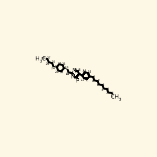 CCCCCCCCCCc1ccc(-c2cnc(CC[C@H]3CC[C@H](CCCCC)CC3)nc2F)cc1